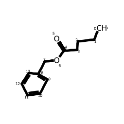 [CH]CCCC(=O)OCc1ccccc1